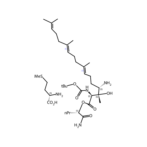 CCC[C@H](OC(=O)[C@@H](NC(=O)OC(C)(C)C)[C@@](C)(O)[C@@H](N)CC/C=C(\C)CC/C=C(\C)CCC=C(C)C)C(N)=O.CSCC[C@H](N)C(=O)O